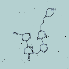 C#Cc1cccc(-c2ccc(=O)n(Cc3cccc(-c4ncc(CCCN5CCNCC5)cn4)c3)n2)c1